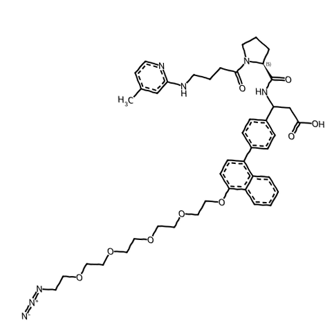 Cc1ccnc(NCCCC(=O)N2CCC[C@H]2C(=O)NC(CC(=O)O)c2ccc(-c3ccc(OCCOCCOCCOCCOCCN=[N+]=[N-])c4ccccc34)cc2)c1